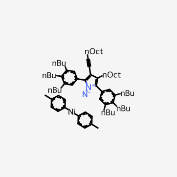 CCCCCCCCC#CC1=C(c2cc(CCCC)c(CCCC)c(CCCC)c2)[N+](=[N-])C(c2cc(CCCC)c(CCCC)c(CCCC)c2)=C1CCCCCCCC.Cc1cc[c]([Ni][c]2ccc(C)cc2)cc1